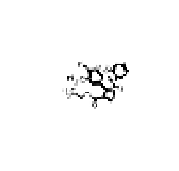 CCOC(=O)C1=CCN(S(=O)(=O)c2ccccc2C)C1c1ccc(Cl)c(C)c1